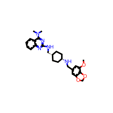 COc1cc(CN[C@H]2CC[C@@H](CNc3nc(N(C)C)c4ccccc4n3)CC2)cc2c1OCO2